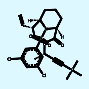 C=C[C@H]1CN([C@@H](C)C#C[Si](C)(C)C)C(=O)[C@@H]2CCC[C@H]1N2S(=O)(=O)c1cc(Cl)cc(Cl)c1